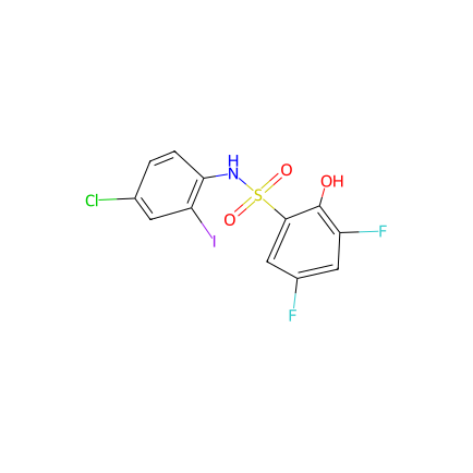 O=S(=O)(Nc1ccc(Cl)cc1I)c1cc(F)cc(F)c1O